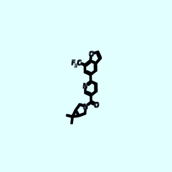 CC1(C)C2CN(C(=O)c3ccc(-c4cc(C(F)(F)F)c5occc5c4)nc3)CC21